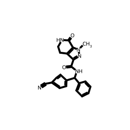 Cn1nc(C(=O)NC(c2ccccc2)c2ccc(C#N)cc2)c2c1C(=O)NCC2